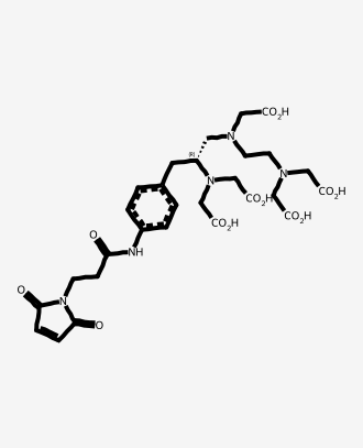 O=C(O)CN(CCN(CC(=O)O)C[C@@H](Cc1ccc(NC(=O)CCN2C(=O)C=CC2=O)cc1)N(CC(=O)O)CC(=O)O)CC(=O)O